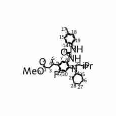 COC(=O)CC(C)c1cc(NC(=O)Nc2ccc(C)cc2)c(N(CC(C)C)C2CCCCC2)cc1F